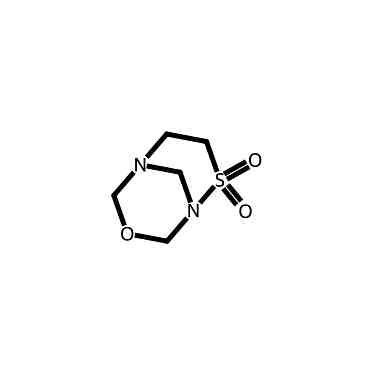 O=S1(=O)CCN2COCN1C2